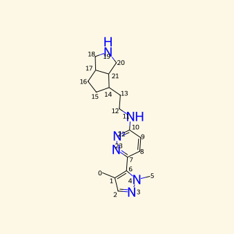 Cc1cnn(C)c1-c1ccc(NCCC2CCC3CNCC23)nn1